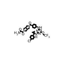 NC(=O)C(=O)N1CC2CN(C(=O)c3ccc(Nc4nc(NC5(c6ccc(Cl)cc6)CC5)nc(OCC(F)(F)F)n4)cc3)CC2C1